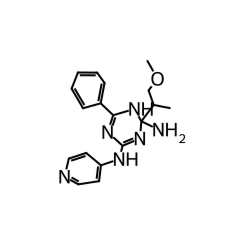 COCC(C)C1(N)N=C(Nc2ccncc2)N=C(c2ccccc2)N1